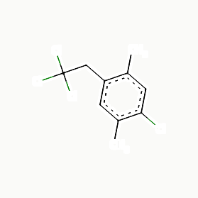 Cc1cc(CC(Cl)(Cl)Cl)c(C)cc1Cl